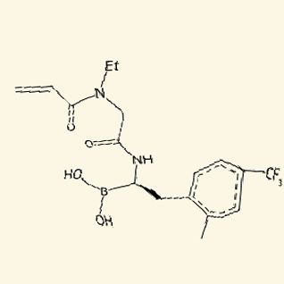 C=CC(=O)N(CC)CC(=O)N[C@@H](Cc1ccc(C(F)(F)F)cc1C)B(O)O